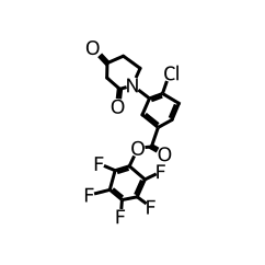 O=C1CCN(c2cc(C(=O)Oc3c(F)c(F)c(F)c(F)c3F)ccc2Cl)C(=O)C1